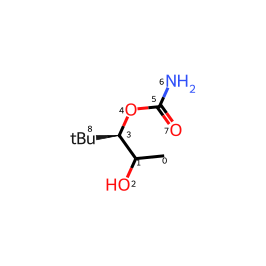 CC(O)[C@H](OC(N)=O)C(C)(C)C